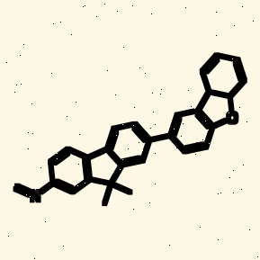 C=Nc1ccc2c(c1)C(C)(C)c1cc(-c3ccc4c(c3)C3C=CC=CC3O4)ccc1-2